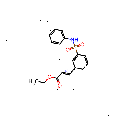 CCOC(=O)/C=C/C1C=C(S(=O)(=O)Nc2ccccc2)C=CC1